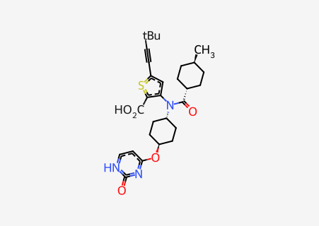 CC(C)(C)C#Cc1cc(N(C(=O)[C@H]2CC[C@H](C)CC2)[C@H]2CC[C@H](Oc3cc[nH]c(=O)n3)CC2)c(C(=O)O)s1